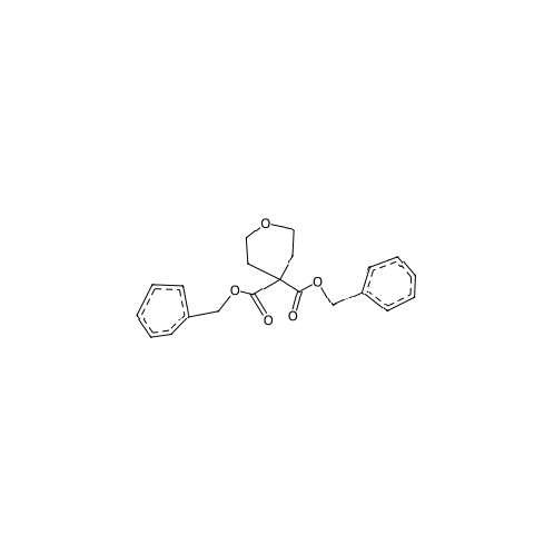 O=C(OCc1ccccc1)C1(C(=O)OCc2ccccc2)CCOCC1